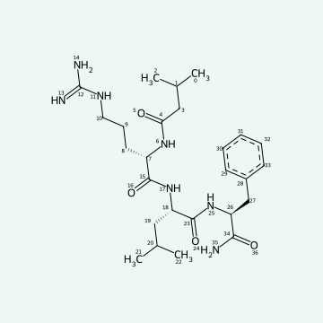 CC(C)CC(=O)N[C@@H](CCCNC(=N)N)C(=O)N[C@@H](CC(C)C)C(=O)N[C@@H](Cc1ccccc1)C(N)=O